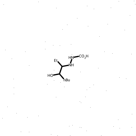 CCCCC(O)C(CC)NNC(=O)O